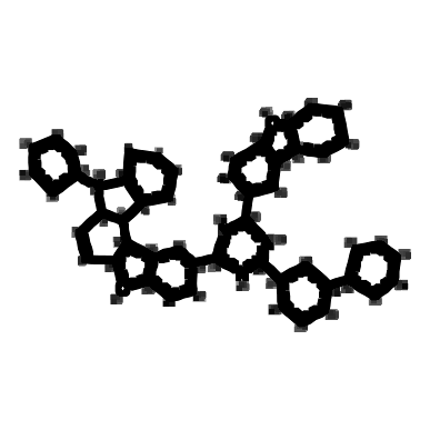 C1=CC2C(c3ccccc3N2c2ccccc2)c2c1oc1ccc(-c3nc(-c4cccc(-c5ccccc5)c4)nc(-c4ccc5oc6ccccc6c5c4)n3)cc21